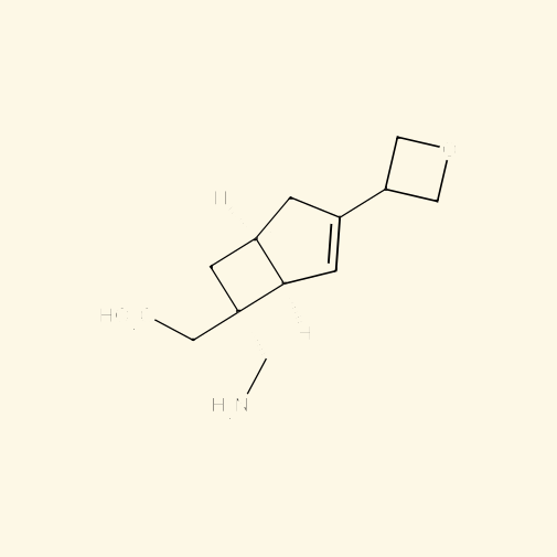 NC[C@]1(CC(=O)O)C[C@H]2CC(C3COC3)=C[C@H]21